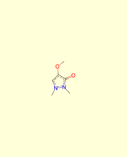 COc1cn(C)n(C)c1=O